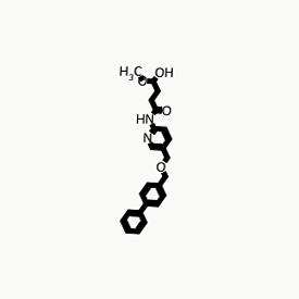 COC(O)CCC(=O)Nc1ccc(COCc2ccc(-c3ccccc3)cc2)cn1